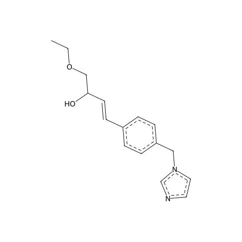 CCOCC(O)C=Cc1ccc(Cn2ccnc2)cc1